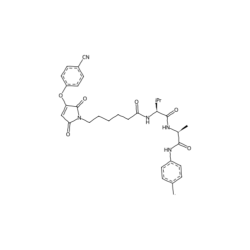 [CH2]c1ccc(NC(=O)[C@H](C)NC(=O)[C@@H](NC(=O)CCCCCN2C(=O)C=C(Oc3ccc(C#N)cc3)C2=O)C(C)C)cc1